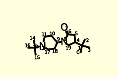 CC(C)(C)C1CC(=O)N(C2CCN(C(C)(C)C)CC2)C1